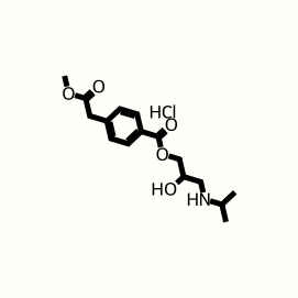 COC(=O)Cc1ccc(C(=O)OCC(O)CNC(C)C)cc1.Cl